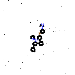 c1ccc(-c2ccc3c(c2)-c2ccccc2-c2ccc(Sc4cccc(-n5ccnc5)c4)cc2N3c2ccccn2)cc1